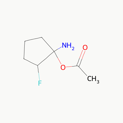 CC(=O)OC1(N)CCCC1F